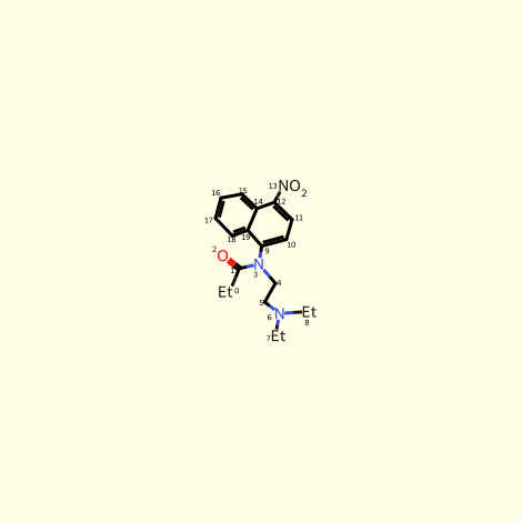 CCC(=O)N(CCN(CC)CC)c1ccc([N+](=O)[O-])c2ccccc12